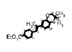 CCOC(=O)c1ccc(/C=C(\C)c2ccc3c(c2)OCC(C)(C)S3)cc1